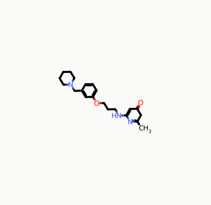 CC1=NC(NCCCOc2cccc(CN3CCCCC3)c2)=CC(=O)C1